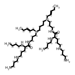 CCC=CCN(CCCCN(CC=CCC)CCCNC(=O)C(CCCNCCCN)NCCCN)CCCNC(=O)C(CCCNCCCN)NCCCN